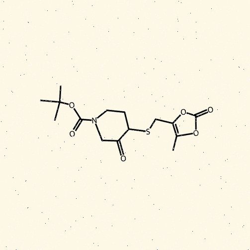 Cc1oc(=O)oc1CSC1CCN(C(=O)OC(C)(C)C)CC1=O